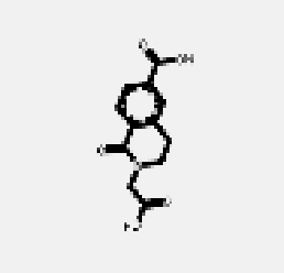 O=C(O)CN1CCc2cc(C(=O)O)ccc2C1=O